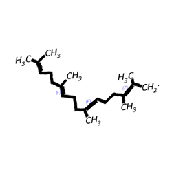 [CH2]/C(C)=C(\C)CC/C=C(\C)CC/C=C(\C)CCC=C(C)C